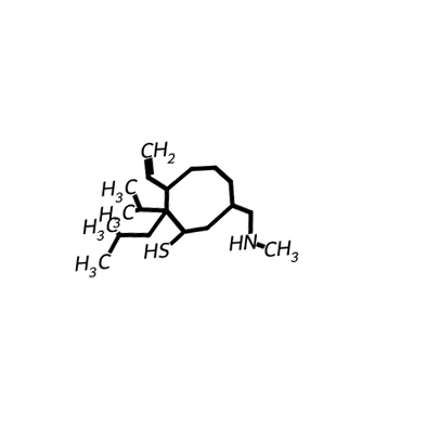 C=CC1CCCC(CNC)CC(S)C1(CC(C)C)C(C)C